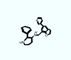 c1ccc(C2NCCCC2NCc2cc(-c3cccnc3)cc3ccoc23)cc1